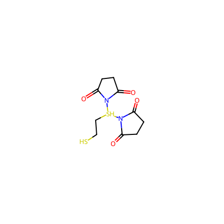 O=C1CCC(=O)N1[SH](CCS)N1C(=O)CCC1=O